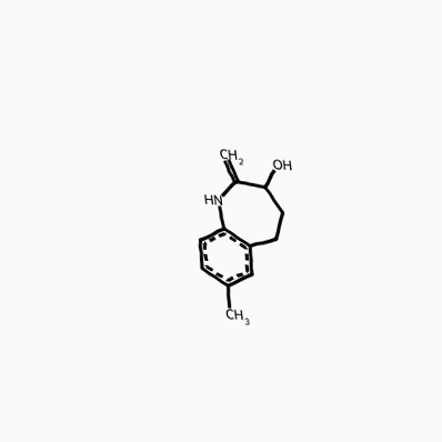 C=C1Nc2ccc(C)cc2CCC1O